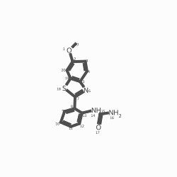 COc1ccc2nc(-c3ccccc3NC(N)=O)sc2c1